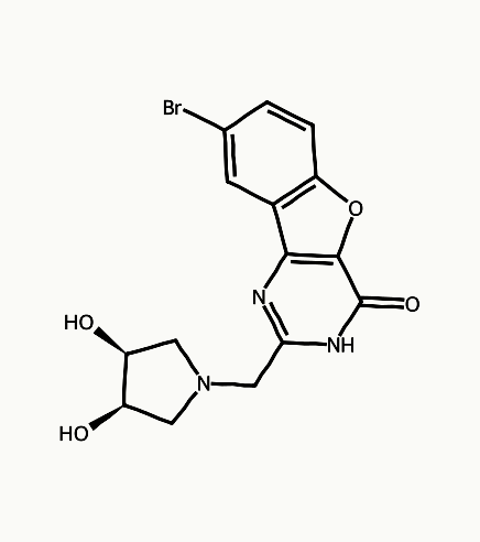 O=c1[nH]c(CN2C[C@@H](O)[C@@H](O)C2)nc2c1oc1ccc(Br)cc12